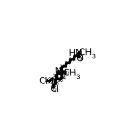 CNC(=O)CCCCCCCc1nc2cc(N(CCCl)CCCl)ccc2n1C